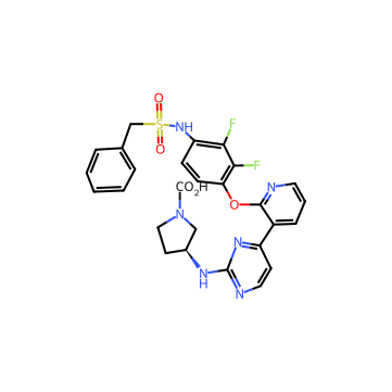 O=C(O)N1CC[C@H](Nc2nccc(-c3cccnc3Oc3ccc(NS(=O)(=O)Cc4ccccc4)c(F)c3F)n2)C1